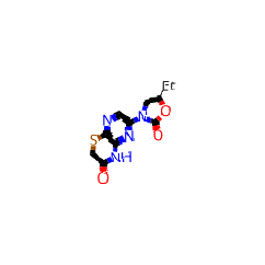 CC[C@H]1CN(c2cnc3c(n2)NC(=O)CS3)C(=O)O1